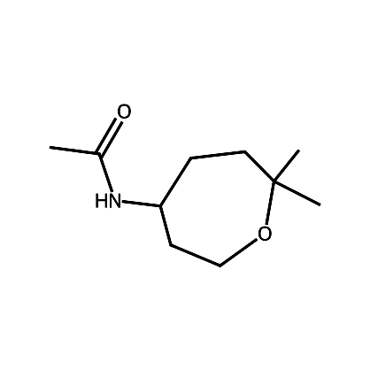 CC(=O)NC1CCOC(C)(C)CC1